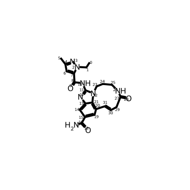 CCn1nc(C)cc1C(=O)Nc1nc2cc(C(N)=O)cc3c2n1CCCNC(=O)C/C=C/3